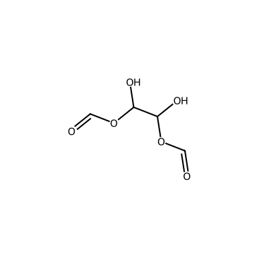 O=COC(O)C(O)OC=O